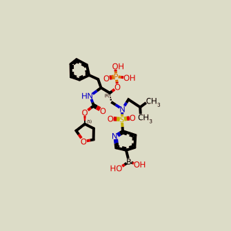 CC(C)CN(C[C@@H](OP(=O)(O)O)C(Cc1ccccc1)NC(=O)O[C@H]1CCOC1)S(=O)(=O)c1ccc(B(O)O)cn1